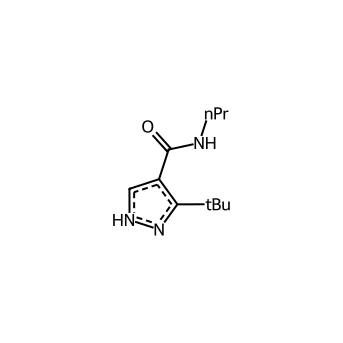 CCCNC(=O)c1c[nH]nc1C(C)(C)C